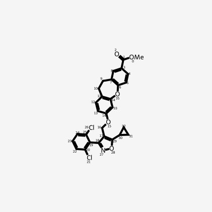 COC(=O)c1ccc2c(c1)CCc1ccc(OCc3c(-c4c(Cl)cccc4Cl)noc3C3CC3)cc1O2